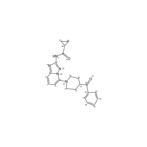 O=C(Nc1nc2cccc(N3CCC(C(=O)c4ccccc4)CC3)n2n1)C1CC1